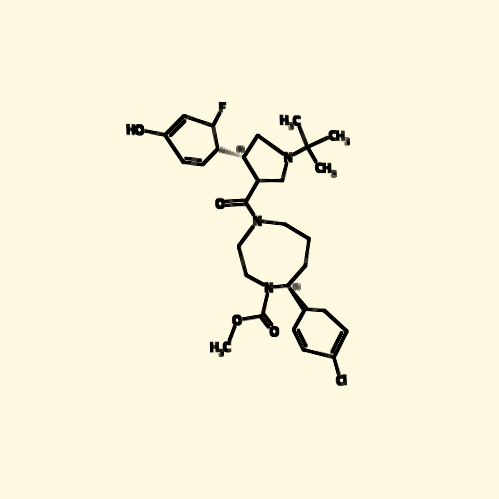 COC(=O)N1CCN(C(=O)C2CN(C(C)(C)C)C[C@H]2C2C=CC(O)=CC2F)CCC[C@H]1C1C=CC(Cl)=CC1